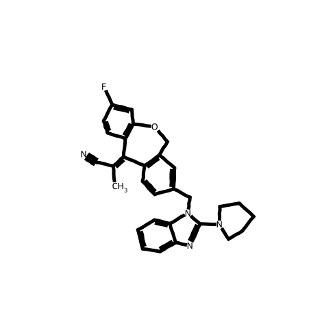 C/C(C#N)=C1\c2ccc(Cn3c(N4CCCCC4)nc4ccccc43)cc2COc2cc(F)ccc21